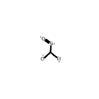 CCC(Cl)[Si]=O